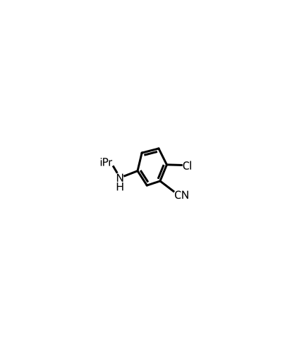 CC(C)Nc1ccc(Cl)c(C#N)c1